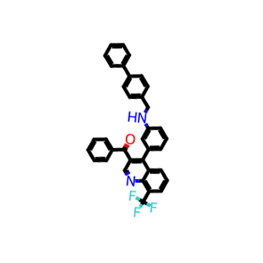 O=C(c1ccccc1)c1cnc2c(C(F)(F)F)cccc2c1-c1cccc(NCc2ccc(-c3ccccc3)cc2)c1